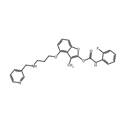 Cc1c(OC(=O)Nc2ccccc2F)oc2cccc(OCCCNCc3cccnc3)c12